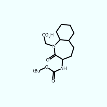 CC(C)(C)OC(=O)NC1CCC2CCCCC2N(CC(=O)O)C1=O